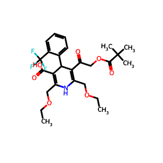 CCOCC1=C(C(=O)O)C(c2ccccc2C(F)(F)F)C(C(=O)COC(=O)C(C)(C)C)=C(COCC)N1